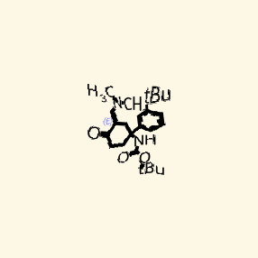 CN(C)/C=C1\CC(NC(=O)OC(C)(C)C)(c2cccc(C(C)(C)C)c2)CCC1=O